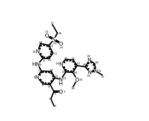 CCC(=O)c1cnc(Nc2ccc(S(=O)(=O)CC)cn2)cc1Nc1nccc(-c2ncn(C)n2)c1OC